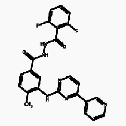 Cc1ccc(C(=O)NNC(=O)c2c(F)cccc2F)cc1Nc1nccc(-c2cccnc2)n1